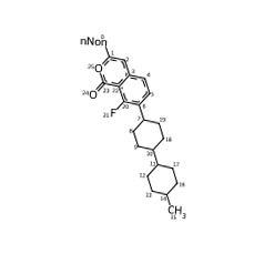 CCCCCCCCCc1cc2ccc(C3CCC(C4CCC(C)CC4)CC3)c(F)c2c(=O)o1